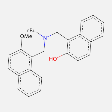 CCCCN(Cc1c(O)ccc2ccccc12)Cc1c(OC)ccc2ccccc12